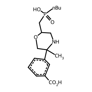 CCCCP(=O)(O)CC1CNC(C)(c2cccc(C(=O)O)c2)CO1